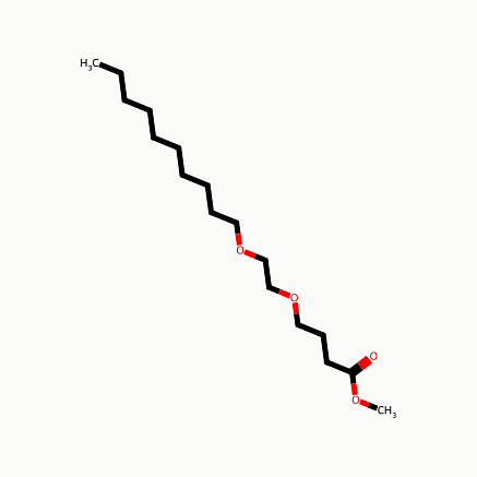 CCCCCCCCCCOCCOCCCC(=O)OC